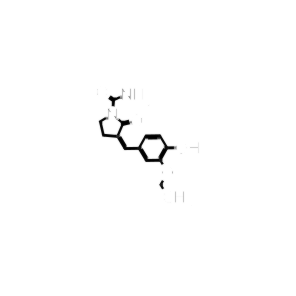 CCOc1cc(C=C2CCN(C(N)=O)C2=O)ccc1O